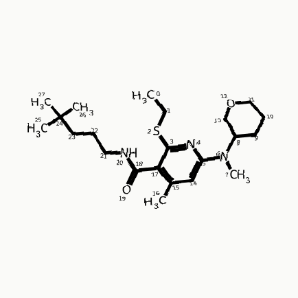 CCSc1nc(N(C)C2CCCOC2)cc(C)c1C(=O)NCCCC(C)(C)C